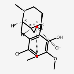 COc1cc(Cl)c2c(c1O)[C@]13CCN(C)[C@H](C2)[C@@H]1C[C@@H](OC)[C@@H](O)C3